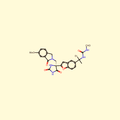 CCC(C)(NC(=O)NC=O)c1ccc2oc([C@]3(CN4Cc5ccc(OC)cc5C4=O)NC(=O)NC3=O)cc2c1